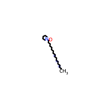 CC/C=C/C/C=C/C/C=C/CCCCCCCC(=O)N1CCCCC1